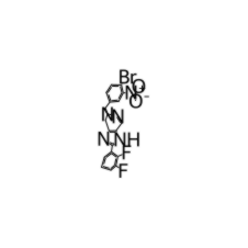 O=[N+]([O-])c1cc(CN2Cc3nc(-c4cccc(F)c4F)[nH]c3C=N2)ccc1Br